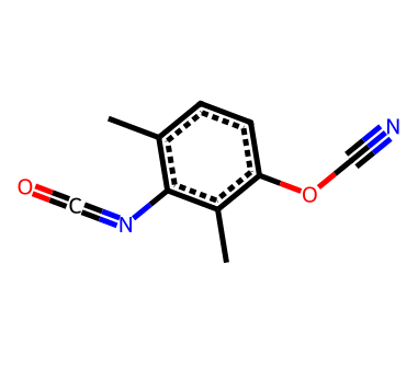 Cc1ccc(OC#N)c(C)c1N=C=O